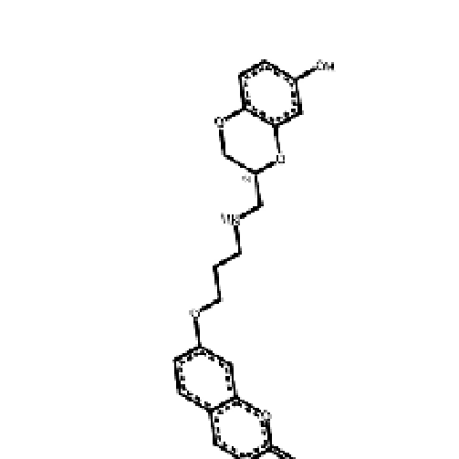 O=c1ccc2ccc(OCCCNC[C@H]3COc4ccc(O)cc4O3)cc2o1